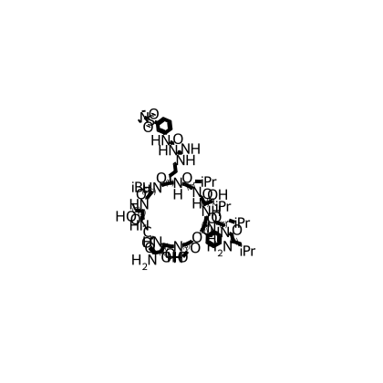 CC[C@H](C)[C@@H]1NC(=O)[C@@H](CCCNC(=N)NC(=O)Nc2cccc(S(=O)(=O)N(C)C)c2)NC(=O)[C@H](CC(C)C)NC(=O)[C@H]([C@H](O)C(C)C)NC(=O)[C@@H](NC(=O)[C@H](CC(C)C)NC(=O)[C@H](N)CC(C)C)[C@@H](c2ccccc2)OC(=O)[C@H](CO)NC(=O)[C@H]([C@H](O)C(N)=O)NC(=O)CNC(=O)[C@H]([C@H](C)O)NC1=O